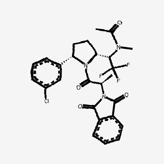 CC(=O)N(C)C([C@H]1CC[C@@H](c2cccc(Cl)c2)N1C(=O)[C@@H](C)N1C(=O)c2ccccc2C1=O)C(F)(F)F